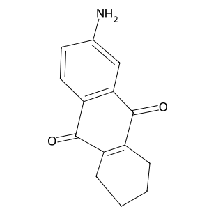 Nc1ccc2c(c1)C(=O)C1=C(CCCC1)C2=O